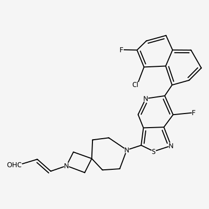 O=CC=CN1CC2(CCN(c3snc4c(F)c(-c5cccc6ccc(F)c(Cl)c56)ncc34)CC2)C1